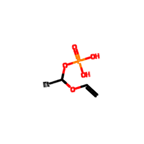 C=COC(CC)OP(=O)(O)O